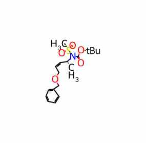 C[C@H](/C=C\COCc1ccccc1)N(C(=O)OC(C)(C)C)S(C)(=O)=O